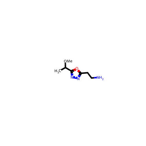 COC(C)c1nnc(CCN)o1